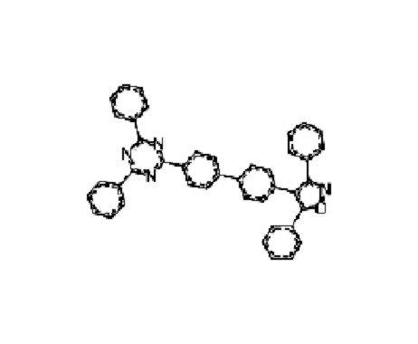 c1ccc(-c2nc(-c3ccccc3)nc(-c3ccc(-c4ccc(-c5c(-c6ccccc6)noc5-c5ccccc5)cc4)cc3)n2)cc1